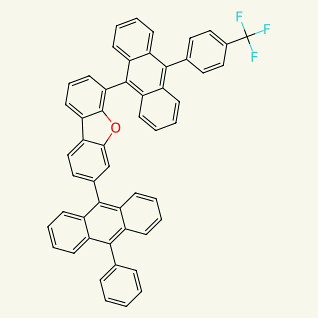 FC(F)(F)c1ccc(-c2c3ccccc3c(-c3cccc4c3oc3cc(-c5c6ccccc6c(-c6ccccc6)c6ccccc56)ccc34)c3ccccc23)cc1